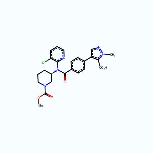 Cn1ncc(-c2ccc(C(=O)N(c3ncccc3Cl)[C@@H]3CCCN(C(=O)OC(C)(C)C)C3)cc2)c1C(=O)O